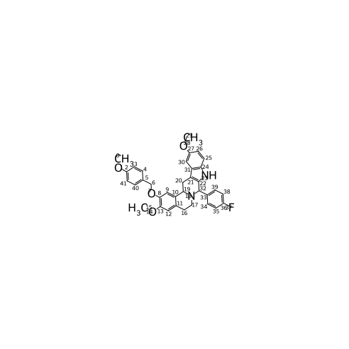 COc1ccc(COc2cc3c(cc2OC)CCN2C3Cc3c([nH]c4ccc(OC)cc34)C2c2ccc(F)cc2)cc1